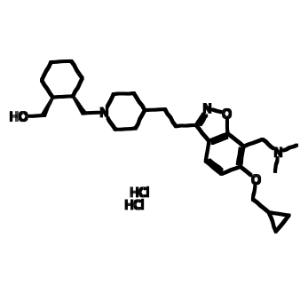 CN(C)Cc1c(OCC2CC2)ccc2c(CCC3CCN(C[C@@H]4CCCC[C@@H]4CO)CC3)noc12.Cl.Cl